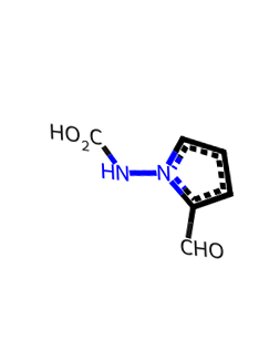 O=Cc1cccn1NC(=O)O